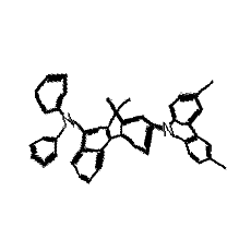 Cc1ccc2c(c1)c1cc(C)ccc1n2-c1ccc2c(c1)C(C)(C)c1cc(N(c3ccccc3)c3ccccc3)c3ccccc3c1-2